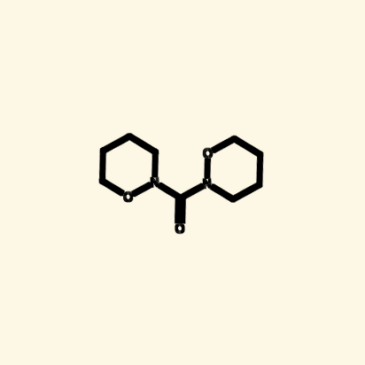 O=C(N1CCCCO1)N1CCCCO1